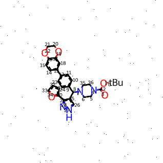 CC(C)(C)OC(=O)N1CCN(C(c2ccc(-c3ccc4c(c3)OCCO4)cc2)c2c[nH]nc2-c2ccco2)CC1